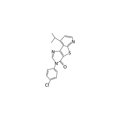 CC(C)c1ccnc2sc3c(=O)n(-c4ccc(Cl)cc4)cnc3c12